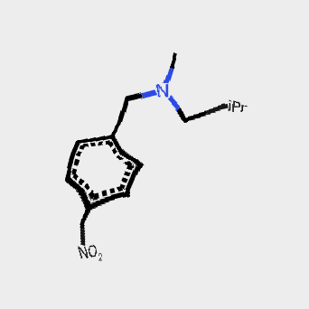 CC(C)CN(C)Cc1ccc([N+](=O)[O-])cc1